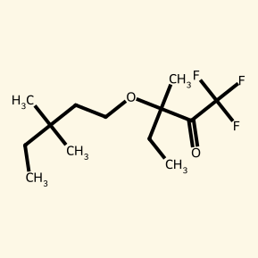 CCC(C)(C)CCOC(C)(CC)C(=O)C(F)(F)F